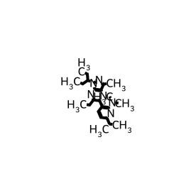 CCc1nc2c(nc1-c1ccc(C(C)C)nc1N(C)C)c(C)nn2C(CC)CC